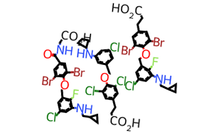 O=C(O)CCc1cc(Br)c(OCc2cc(Cl)cc(NCC3CC3)c2F)c(Br)c1.O=C(O)CCc1cc(Cl)c(OCc2cc(Cl)cc(NC3CCC3)c2)c(Cl)c1.O=C(O)CNC(=O)c1cc(Br)c(OCc2cc(Cl)cc(NCC3CC3)c2F)c(Br)c1